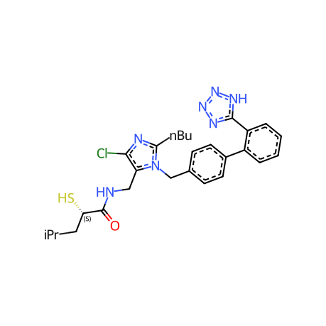 CCCCc1nc(Cl)c(CNC(=O)[C@@H](S)CC(C)C)n1Cc1ccc(-c2ccccc2-c2nnn[nH]2)cc1